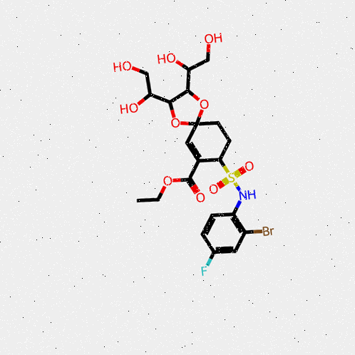 CCOC(=O)C1=CC2(CCC1S(=O)(=O)Nc1ccc(F)cc1Br)OC(C(O)CO)C(C(O)CO)O2